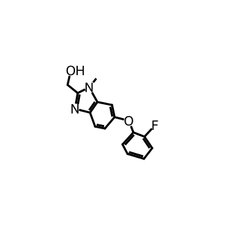 Cn1c(CO)nc2ccc(Oc3ccccc3F)cc21